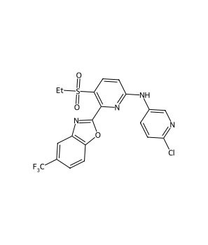 CCS(=O)(=O)c1ccc(Nc2ccc(Cl)nc2)nc1-c1nc2cc(C(F)(F)F)ccc2o1